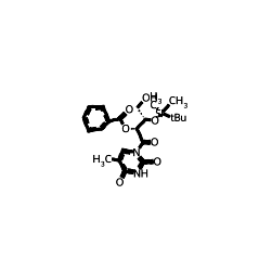 Cc1cn(C(=O)[C@H](OC(=O)c2ccccc2)[C@H](CO)O[Si](C)(C)C(C)(C)C)c(=O)[nH]c1=O